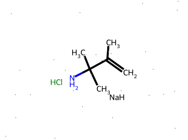 C=C(C)C(C)(C)N.Cl.[NaH]